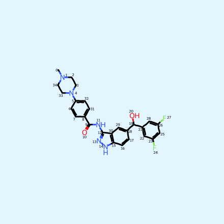 CN1CCN(c2ccc(C(=O)Nc3n[nH]c4ccc(C(O)c5cc(F)cc(F)c5)cc34)cc2)CC1